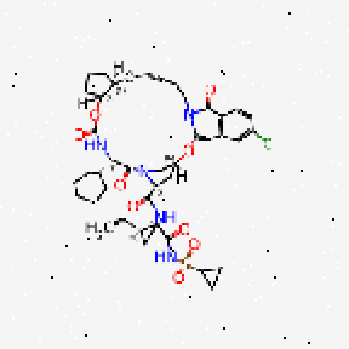 C=C[C@@H]1C[C@]1(NC(=O)[C@@H]1C[C@@H]2CN1C(=O)[C@H](C1CCCCC1)NC(=O)O[C@@H]1CCC[C@H]1CC=CCCn1c(cc3cc(Cl)ccc3c1=O)O2)C(=O)NS(=O)(=O)C1CC1